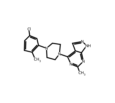 Cc1nc(N2CCN(c3cc(Cl)ccc3C)CC2)c2cn[nH]c2n1